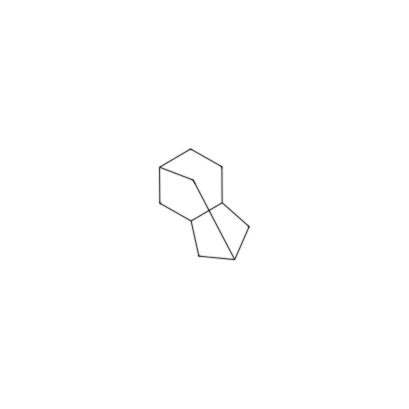 C1CC2CC3CC1CC2C3